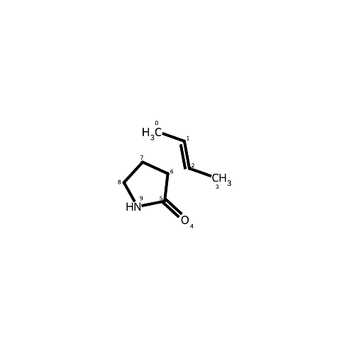 CC=CC.O=C1CCCN1